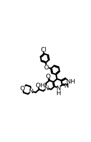 O=C1CN(CC(O)CN2CCOCC2)CC2=C1C(c1cccc(Oc3ccc(Cl)cc3)c1)c1c[nH]nc1N2